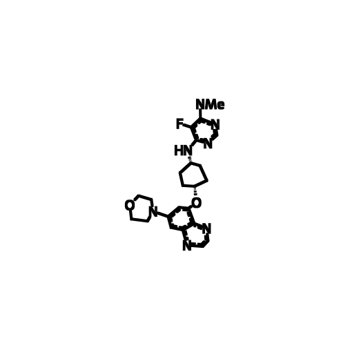 CNc1ncnc(N[C@H]2CC[C@@H](Oc3cc(N4CCOCC4)cc4nccnc34)CC2)c1F